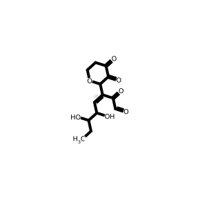 CCC(O)C(O)/C=C(\C(=O)C=O)C1OCCC(=O)C1=O